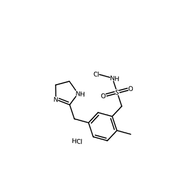 Cc1ccc(CC2=NCCN2)cc1CS(=O)(=O)NCl.Cl